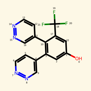 Oc1cc(-c2ccnnc2)c(-c2ccnnc2)c(C(F)(F)F)c1